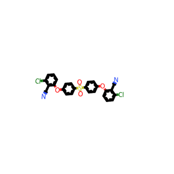 N#Cc1c(Cl)cccc1Oc1ccc(S(=O)(=O)c2ccc(Oc3cccc(Cl)c3C#N)cc2)cc1